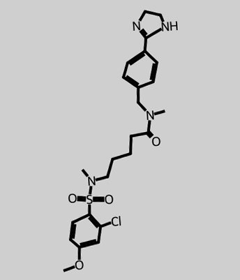 COc1ccc(S(=O)(=O)N(C)CCCCC(=O)N(C)Cc2ccc(C3=NCCN3)cc2)c(Cl)c1